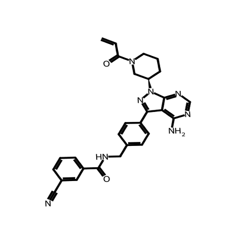 C=CC(=O)N1CCC[C@@H](n2nc(-c3ccc(CNC(=O)c4cccc(C#N)c4)cc3)c3c(N)ncnc32)C1